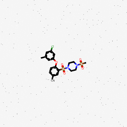 Cc1cc(Cl)cc(Oc2ccc(C#N)cc2S(=O)(=O)N2CCN(S(C)(=O)=O)CC2)c1